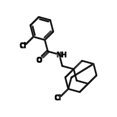 O=C(NCC12CC3CC(CC(Cl)(C3)C1)C2)c1ccccc1Cl